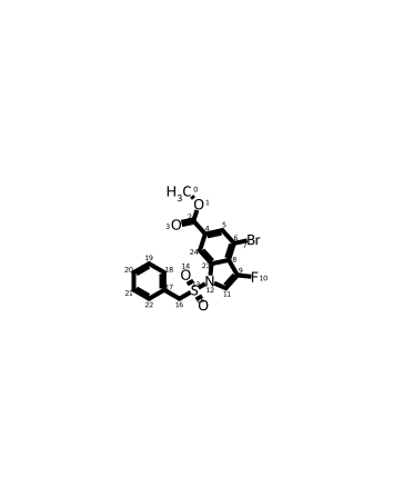 COC(=O)c1cc(Br)c2c(F)cn(S(=O)(=O)Cc3ccccc3)c2c1